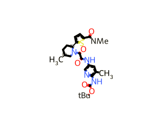 CNC(=O)c1ccc([C@@H]2CC[C@@H](C)CN2C(=O)C(=O)Nc2cnc(NC(=O)OC(C)(C)C)c(C)c2)s1